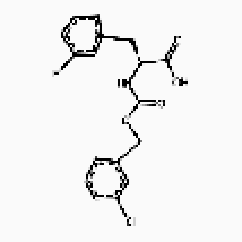 O=C(N[C@@H](Cc1cccc(F)c1)C(=O)O)OCc1cccc(Cl)c1